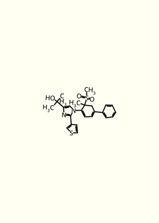 CC(C)(O)c1cn(C2=CC=C(c3ccccc3)CC2(C)S(C)(=O)=O)c(-c2ccsc2)n1